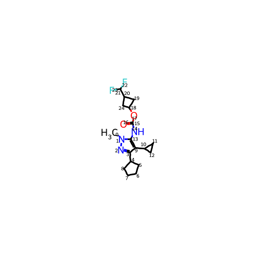 Cn1nc(C2CCCC2)c(C2CC2)c1NC(=O)OC1CC(C(F)F)C1